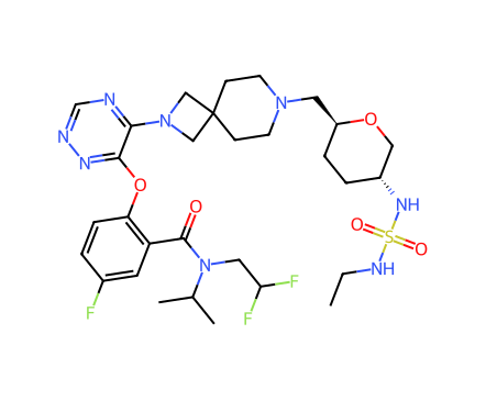 CCNS(=O)(=O)N[C@@H]1CC[C@@H](CN2CCC3(CC2)CN(c2ncnnc2Oc2ccc(F)cc2C(=O)N(CC(F)F)C(C)C)C3)OC1